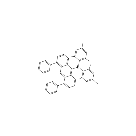 Cc1cc(C)c(B(c2c(C)cc(C)cc2C)c2c3cccc(-c4ccccc4)c3cc3c(-c4ccccc4)cccc23)c(C)c1